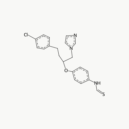 S=CNc1ccc(OC(CCc2ccc(Cl)cc2)Cn2ccnc2)cc1